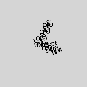 C=CCNCCCCC.[O-]P([O-])(=S)[S-].[O-]P([O-])(=S)[S-].[O-]P([O-])(=S)[S-].[O-]P([O-])(=S)[S-].[W+4].[W+4].[W+4]